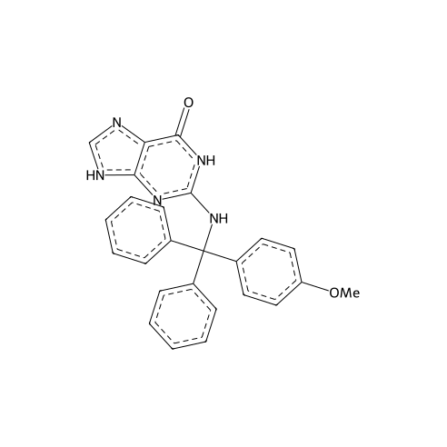 COc1ccc(C(Nc2nc3[nH]cnc3c(=O)[nH]2)(c2ccccc2)c2ccccc2)cc1